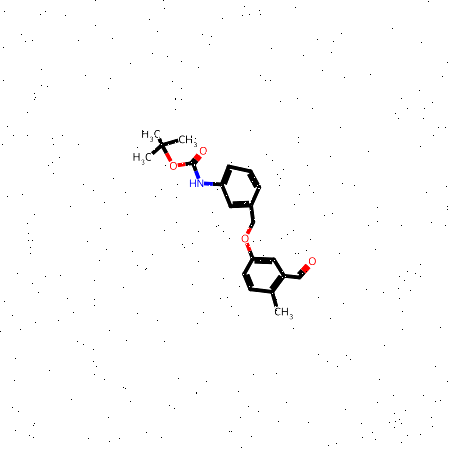 Cc1ccc(OCc2cccc(NC(=O)OC(C)(C)C)c2)cc1C=O